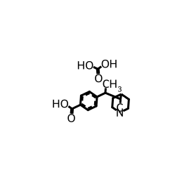 CC(c1ccc(C(=O)O)cc1)C1CN2CCC1CC2.O=C(O)O